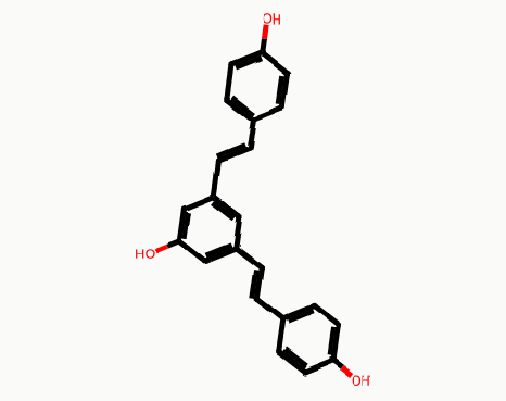 Oc1ccc(C=Cc2cc(O)cc(C=Cc3ccc(O)cc3)c2)cc1